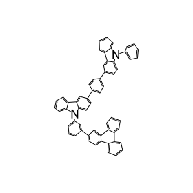 c1ccc(-n2c3ccccc3c3cc(-c4ccc(-c5ccc6c(c5)c5ccccc5n6-c5cccc(-c6ccc7c8ccccc8c8ccccc8c7c6)c5)cc4)ccc32)cc1